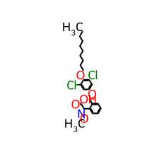 CCCCCCCCCCOc1c(Cl)cc(OCc2ccccc2/C(=N\OC)C(=O)O)cc1Cl